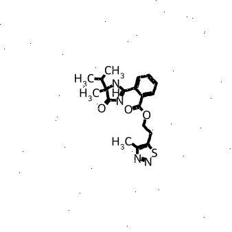 Cc1nnsc1CCOC(=O)c1ccccc1C1=NC(=O)C(C)(C(C)C)N1